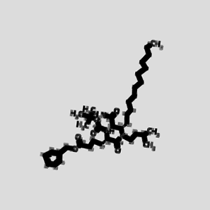 CCCCCCCCCCCCC[C@@H](CC(N)=O)N(CCC(C)C)C(=O)[C@H](CCCC(=O)OCc1ccccc1)NC(=O)OC(C)(C)C